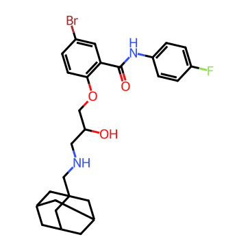 O=C(Nc1ccc(F)cc1)c1cc(Br)ccc1OCC(O)CNCC12CC3CC(CC(C3)C1)C2